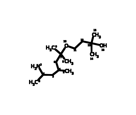 CC(N)CC(C)CC(C)(C)OCCC(C)(C)O